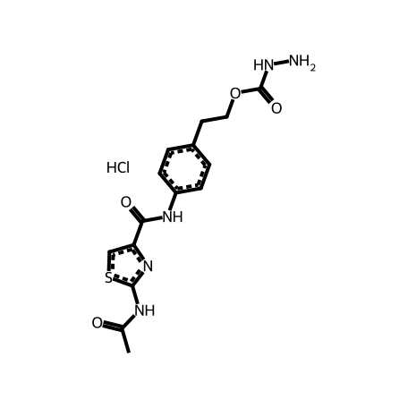 CC(=O)Nc1nc(C(=O)Nc2ccc(CCOC(=O)NN)cc2)cs1.Cl